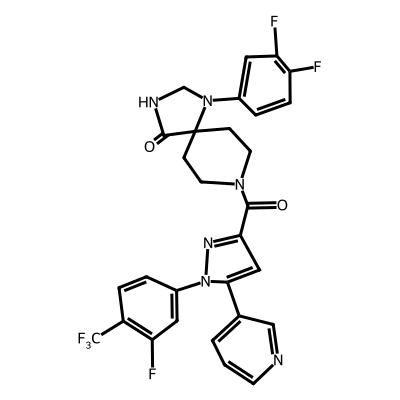 O=C(c1cc(-c2cccnc2)n(-c2ccc(C(F)(F)F)c(F)c2)n1)N1CCC2(CC1)C(=O)NCN2c1ccc(F)c(F)c1